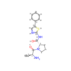 CC(C)(C)[C@H](N)C(=O)N1CCC[C@H]1C(=O)Nc1ncc(-c2ccccc2)s1